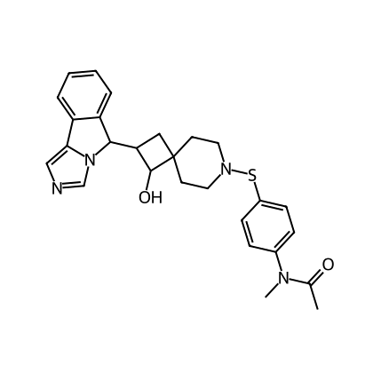 CC(=O)N(C)c1ccc(SN2CCC3(CC2)CC(C2c4ccccc4-c4cncn42)C3O)cc1